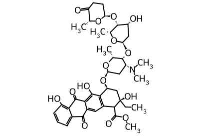 CC[C@@]1(O)C[C@H](O[C@@H]2C[C@@H](N(C)C)[C@@H](O[C@@H]3C[C@@H](O)[C@@H](O[C@@H]4CCC(=O)[C@@H](C)O4)[C@@H](C)O3)[C@@H](C)O2)c2c(cc3c(c2O)C(=O)c2c(O)cccc2C3=O)C1C(=O)OC